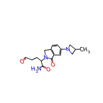 CC1CN(c2ccc3c(c2)C(=O)N(C(CCC=O)C(N)=O)C3)C1